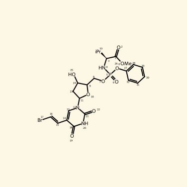 COC(=O)[C@@H](NP(=O)(OCC1OC(n2cc(/C=C/Br)c(=O)[nH]c2=O)CC1O)Oc1ccccc1)C(C)C